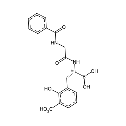 O=C(CNC(=O)c1ccccc1)N[C@@H](Cc1cccc(C(=O)O)c1O)B(O)O